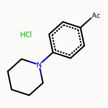 CC(=O)c1ccc(N2CCCCC2)cc1.Cl